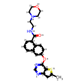 Cc1cc2ncnc(Oc3ccc4c(C(=O)NCCN5CCOCC5)cccc4c3)c2s1